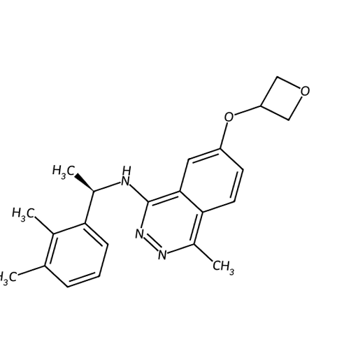 Cc1cccc([C@@H](C)Nc2nnc(C)c3ccc(OC4COC4)cc23)c1C